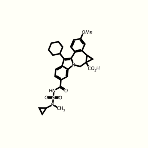 COc1ccc2c(c1)C1CC1(C(=O)O)Cn1c-2c(C2CCCCC2)c2ccc(C(=O)NS(=O)(=O)N(C)C3CC3)cc21